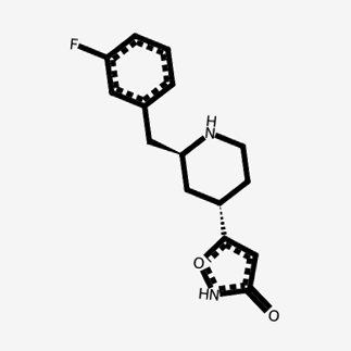 O=c1cc([C@H]2CCN[C@H](Cc3cccc(F)c3)C2)o[nH]1